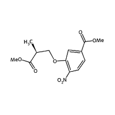 COC(=O)c1ccc([N+](=O)[O-])c(OC[C@H](C)C(=O)OC)c1